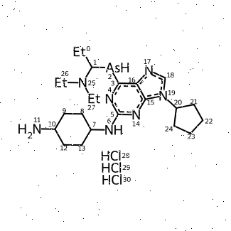 CCC([AsH]c1nc(NC2CCC(N)CC2)nc2c1ncn2C1CCCC1)N(CC)CC.Cl.Cl.Cl